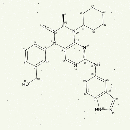 C[C@@H]1C(=O)N(c2cccc(CO)c2)c2cnc(Nc3ccc4[nH]ncc4c3)nc2N1C1CCCCC1